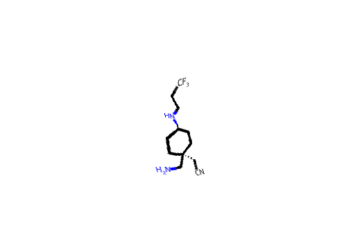 N#CC[C@]1(CN)CC[C@@H](NCCC(F)(F)F)CC1